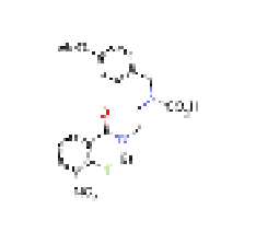 CCN(CCN(Cc1ccc(OC)cc1)C(=O)O)C(=O)c1cccc([N+](=O)[O-])c1F